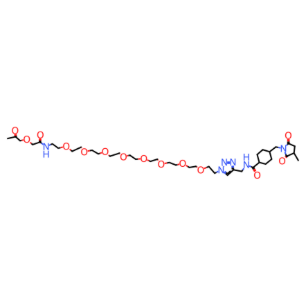 CC(=O)COCC(=O)NCCOCCOCCOCCOCCOCCOCCOCCOCCn1cc(CNC(=O)C2CCC(CN3C(=O)CC(C)C3=O)CC2)nn1